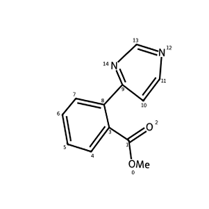 COC(=O)c1ccccc1-c1ccncn1